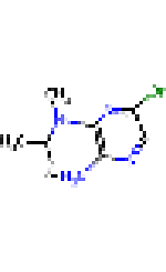 CC(C)N(C)c1nc(Br)cnc1N